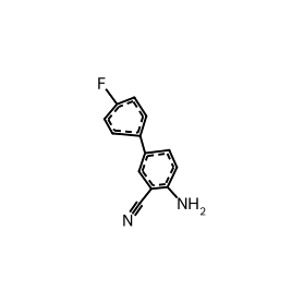 N#Cc1cc(-c2ccc(F)cc2)ccc1N